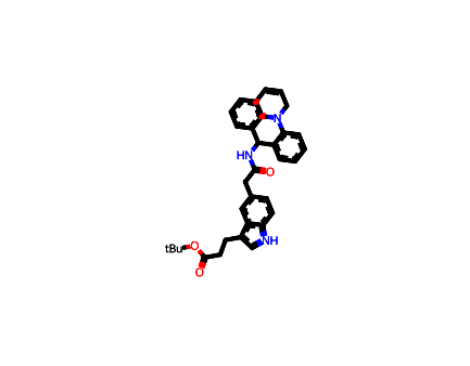 CC(C)(C)OC(=O)CCc1c[nH]c2ccc(CC(=O)NC(c3ccccc3)c3ccccc3N3CC=CCC3)cc12